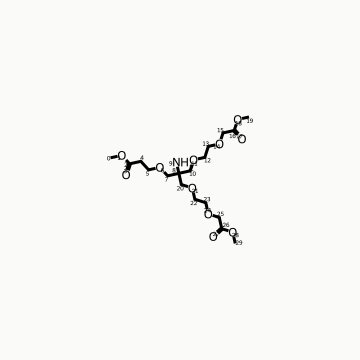 COC(=O)CCOCC(N)(COCCOCC(=O)OC)COCCOCC(=O)OC